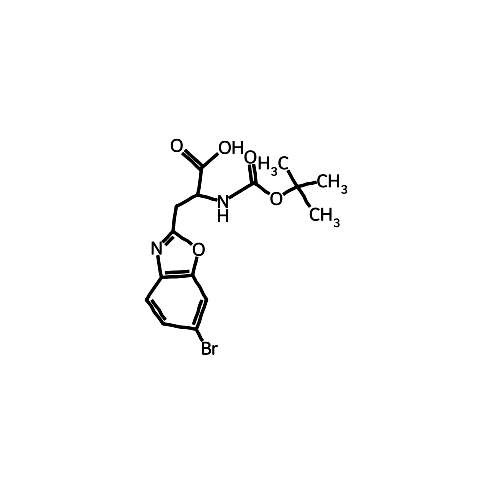 CC(C)(C)OC(=O)NC(Cc1nc2ccc(Br)cc2o1)C(=O)O